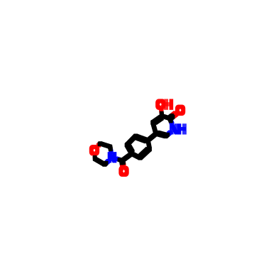 O=C(c1ccc(-c2c[nH]c(=O)c(O)c2)cc1)N1CCOCC1